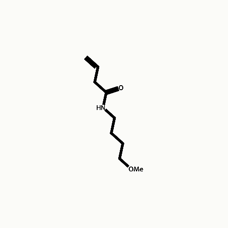 C=CCC(=O)NCCCCOC